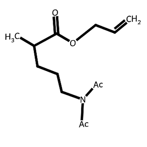 C=CCOC(=O)C(C)CCCN(C(C)=O)C(C)=O